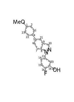 COc1ccc(-c2ccc3c(cnn3-c3ccc(F)c(O)c3)c2)cc1